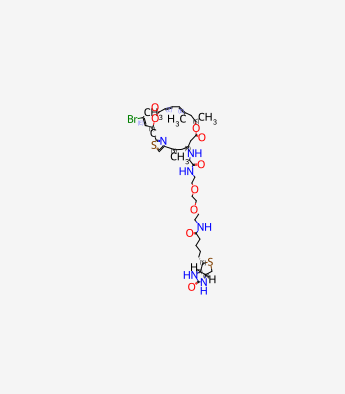 C/C(Br)=C\[C@@H]1Cc2nc(cs2)[C@@H](C)C[C@@H](NCC(=O)NCCOCCOCCNC(=O)CCCC[C@@H]2SC[C@@H]3NC(=O)N[C@@H]32)CC(=O)O[C@@H](C)C/C(C)=C/C=C\C(=O)O1